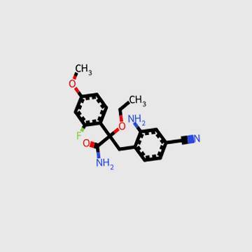 CCOC(Cc1ccc(C#N)cc1N)(C(N)=O)c1ccc(OC)cc1F